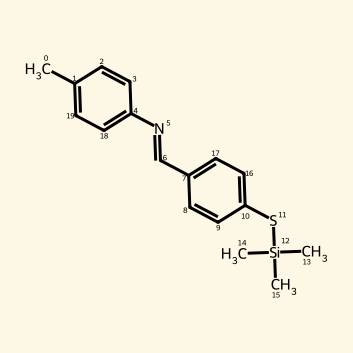 Cc1ccc(N=Cc2ccc(S[Si](C)(C)C)cc2)cc1